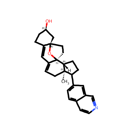 C[C@]12CC=C3C=C4CC[C@@H](O)C[C@]45CC[C@]3(O5)[C@@H]1CCC2c1ccc2ccncc2c1